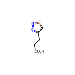 O=C(O)CCc1csnn1